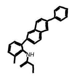 C=C(CC)Nc1c(C)cccc1-c1ccc2cc(-c3ccccc3)ccc2c1